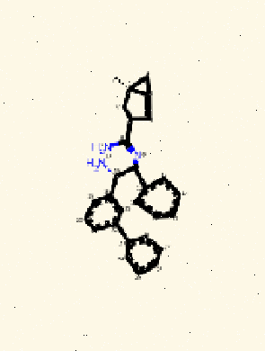 C[C@]12CC1=CC(/C(N)=N/C(c1ccccc1)[C@@H](N)c1cccc(-c3ccccc3)c1)C2